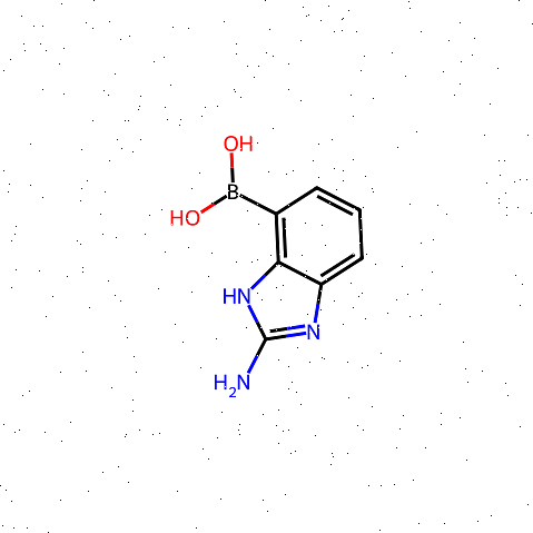 Nc1nc2cccc(B(O)O)c2[nH]1